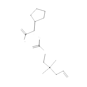 C=CCC(C)(C)COC(=O)N[C@H](C(=O)O)C1CCCC1